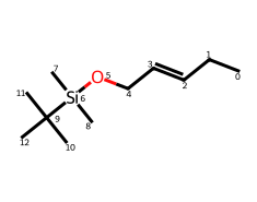 CC/C=C/CO[Si](C)(C)C(C)(C)C